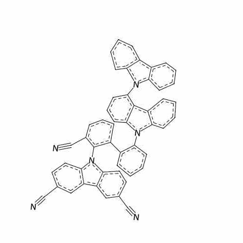 N#Cc1ccc2c(c1)c1cc(C#N)ccc1n2-c1c(C#N)cccc1-c1ccccc1-n1c2ccccc2c2c(-n3c4ccccc4c4ccccc43)cccc21